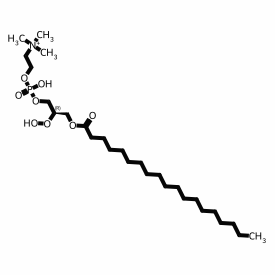 CCCCCCCCCCCCCCCCCCC(=O)OC[C@H](COP(=O)(O)OCC[N+](C)(C)C)OO